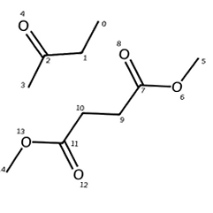 CCC(C)=O.COC(=O)CCC(=O)OC